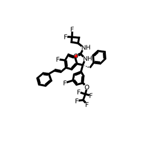 O=C(NC1CC(F)(F)C1)N[C@@](Cc1ccccc1)(c1cc(F)cc(OC(F)(F)C(F)F)c1)c1ccc(F)c(/C=C/c2ccccc2)c1